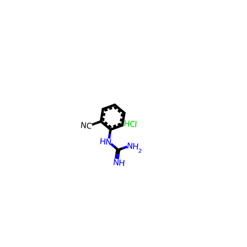 Cl.N#Cc1ccccc1NC(=N)N